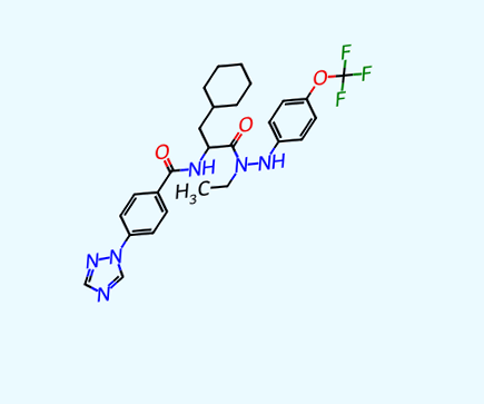 CCN(Nc1ccc(OC(F)(F)F)cc1)C(=O)C(CC1CCCCC1)NC(=O)c1ccc(-n2cncn2)cc1